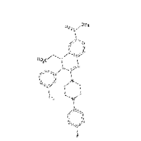 COC(=O)c1ccc2c(c1)C(CC(=O)O)N(c1cccc(C(F)(F)F)c1)C(N1CCN(c3ccc(F)cc3)CC1)=N2